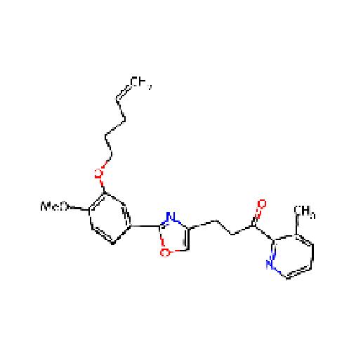 C=CCCCOc1cc(-c2nc(CCC(=O)c3ncccc3C)co2)ccc1OC